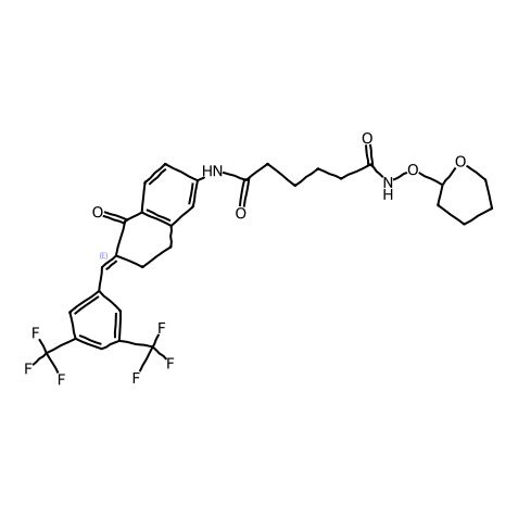 O=C(CCCCC(=O)Nc1ccc2c(c1)CC/C(=C\c1cc(C(F)(F)F)cc(C(F)(F)F)c1)C2=O)NOC1CCCCO1